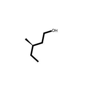 CC[C@@H](C)CCO